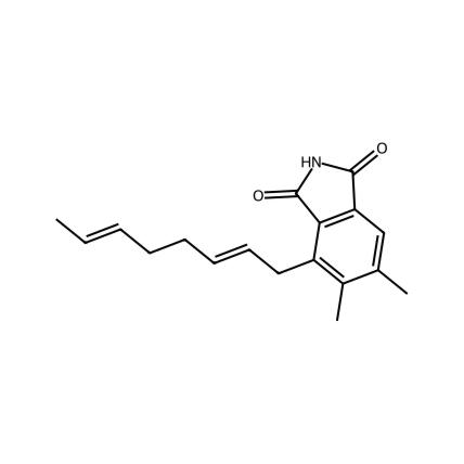 CC=CCCC=CCc1c(C)c(C)cc2c1C(=O)NC2=O